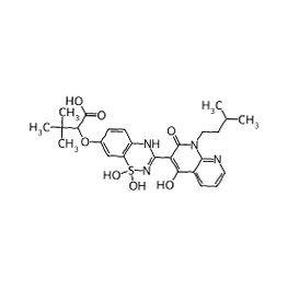 CC(C)CCn1c(=O)c(C2=NS(O)(O)c3cc(OC(C(=O)O)C(C)(C)C)ccc3N2)c(O)c2cccnc21